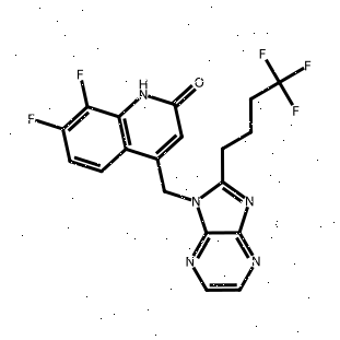 O=c1cc(Cn2c(CCCC(F)(F)F)nc3nccnc32)c2ccc(F)c(F)c2[nH]1